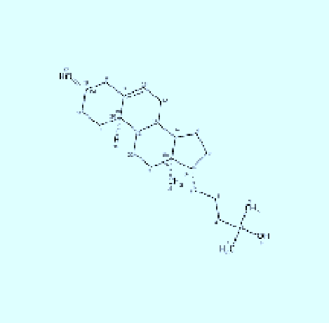 CC(C)(O)CCC[C@H]1CCC2C3CC=C4C[C@@H](O)CC[C@@H]4C3CC[C@@]21C